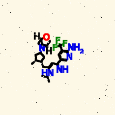 CC(C)N/C(=C\C(=N)c1cnc(N)c(C(F)(F)F)c1)C[C@@H]1C[C@H](N2C[C@@H]3C[C@H]2CO3)C[C@@H]1C